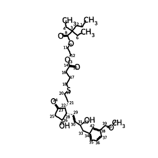 CCCC(CC)(CC)C(=O)OCCOC(=O)CCCSCC[C@H]1C(=O)C[C@@H](O)[C@H]1/C=C/[C@@H](O)Cc1cccc(COC)c1